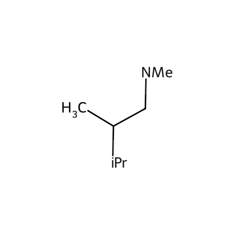 [CH2]NCC(C)C(C)C